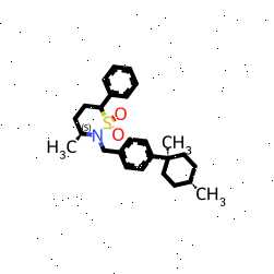 C[C@H]1CCC(c2ccccc2)S(=O)(=O)N1Cc1ccc([C@]2(C)CC[C@@H](C)CC2)cc1